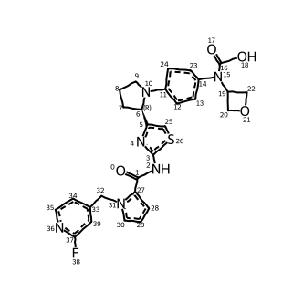 O=C(Nc1nc([C@H]2CCCN2c2ccc(N(C(=O)O)C3COC3)cc2)cs1)c1cccn1Cc1ccnc(F)c1